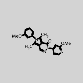 COc1cccc(-n2c(C)c3cnn(-c4ccnc(OC)c4)c(=O)c3c2C)c1